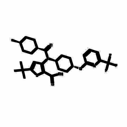 CC(C)(C)c1cc(N(C(=O)[C@H]2CC[C@H](C)CC2)[C@H]2CC[C@H](Oc3cccc(C(F)(F)F)n3)CC2)c(C(=O)O)s1